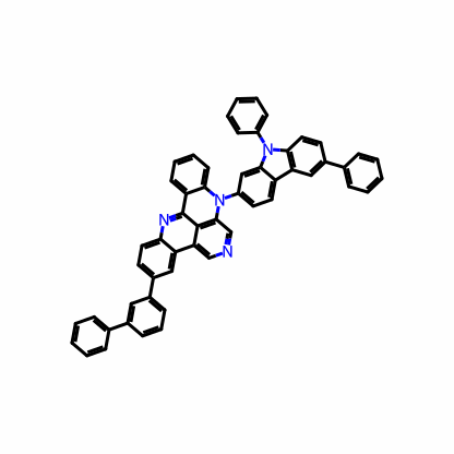 c1ccc(-c2cccc(-c3ccc4nc5c6c(cncc6c4c3)N(c3ccc4c6cc(-c7ccccc7)ccc6n(-c6ccccc6)c4c3)c3ccccc3-5)c2)cc1